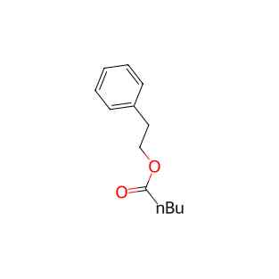 [CH2]CCCC(=O)OCCc1ccccc1